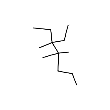 [CH2]CC(C)(CC)C(C)(C)CCC